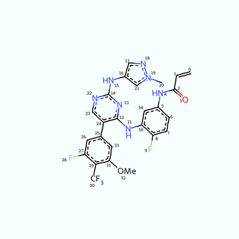 C=CC(=O)Nc1ccc(F)c(Nc2nc(Nc3cnn(C)c3)ncc2-c2cc(F)c(C(F)(F)F)c(OC)c2)c1